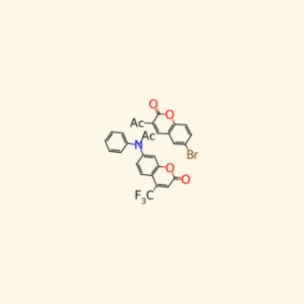 CC(=O)N(c1ccccc1)c1ccc2c(C(F)(F)F)cc(=O)oc2c1.CC(=O)c1cc2cc(Br)ccc2oc1=O